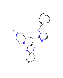 CN1CCN(c2nc3ccccc3nc2C(C#N)c2nccn2Cc2ccccc2)CC1